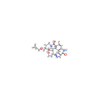 Cc1cc2[nH]c(=O)c3cnn(C4CCOCC4)c3c2cc1C(=O)N1CCC(COCC2CC2)CC1